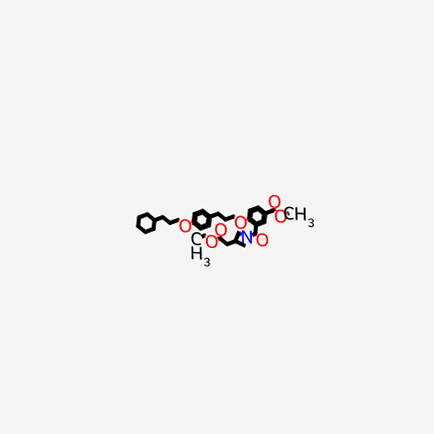 CCOC(=O)CC1CN(C(=O)c2cc(C(=O)OC)ccc2OCCCc2ccc(OCCCC3CCCCC3)cc2)C1